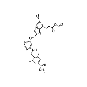 Cc1cc(C(=N)N)cc(C)c1CNc1cc(OCc2cn3cc(C4CC4)cc(CCC(=O)OC=O)c3n2)ncn1